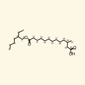 CCCCC(CC)COC(=O)CCCCCCCCCC(C)CC(=O)O